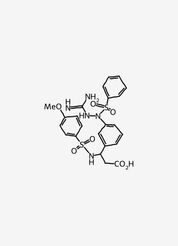 COc1ccc(S(=O)(=O)NC(CC(=O)O)c2cccc(N(NC(=N)N)S(=O)(=O)c3ccccc3)c2)cc1